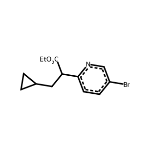 CCOC(=O)C(CC1CC1)c1ccc(Br)cn1